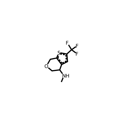 CNC1COCc2sc(C(F)(F)F)cc21